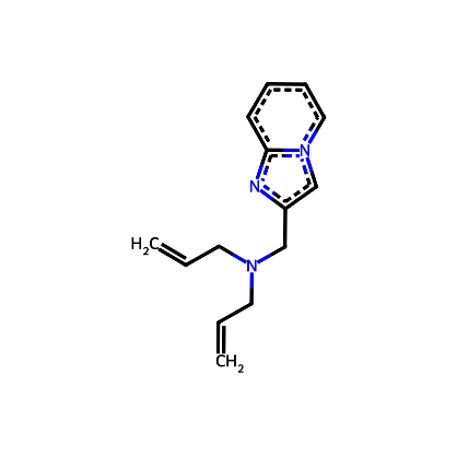 C=CCN(CC=C)Cc1cn2ccccc2n1